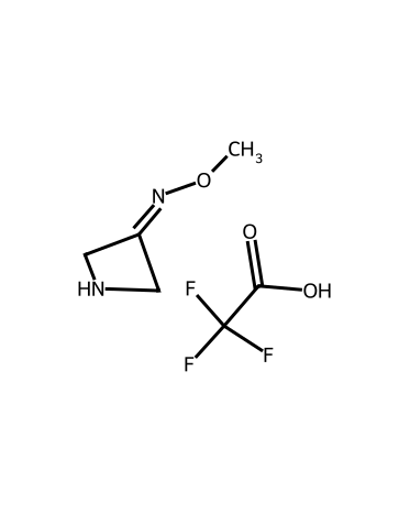 CON=C1CNC1.O=C(O)C(F)(F)F